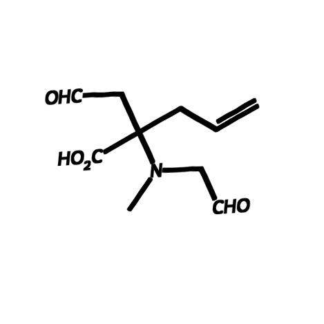 C=CCC(CC=O)(C(=O)O)N(C)CC=O